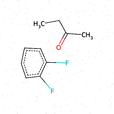 CCC(C)=O.Fc1ccccc1F